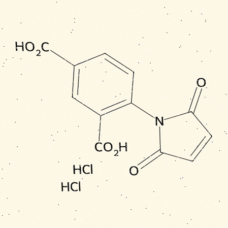 Cl.Cl.O=C(O)c1ccc(N2C(=O)C=CC2=O)c(C(=O)O)c1